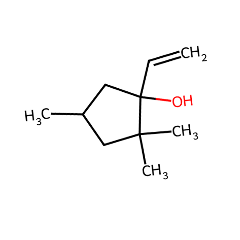 C=CC1(O)CC(C)CC1(C)C